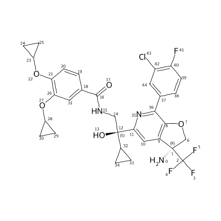 N[C@@]1(C(F)(F)F)COc2c1cc([C@@](O)(CNC(=O)c1ccc(OC3CC3)c(OC3CC3)c1)C1CC1)nc2-c1ccc(F)c(Cl)c1